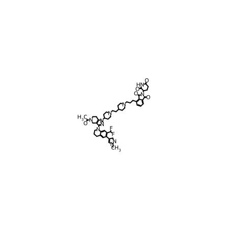 CC(=O)N1CCc2c(c(N3CCCc4cc(-c5cnn(C)c5)c(C(F)F)cc43)nn2C2CCN(CCC3CCN(CCCc4cccc5c4C(=O)N(C4CCC(=O)NC4=O)C5=O)CC3)CC2)C1